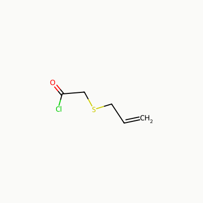 C=CCSCC(=O)Cl